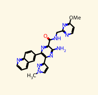 COc1ccnc(CNC(=O)c2nc(-c3ccc4ncccc4c3)c(-c3ccn(C)n3)nc2N)n1